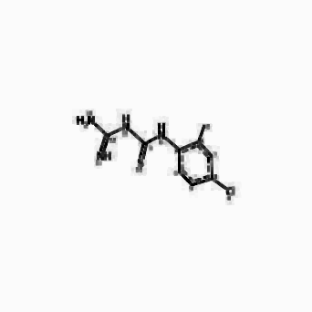 Cc1cc(Cl)ccc1NC(=S)NC(=N)N